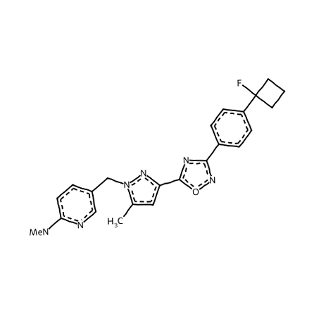 CNc1ccc(Cn2nc(-c3nc(-c4ccc(C5(F)CCC5)cc4)no3)cc2C)cn1